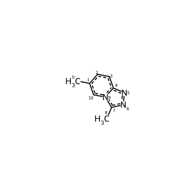 Cc1ccc2nnc(C)n2c1